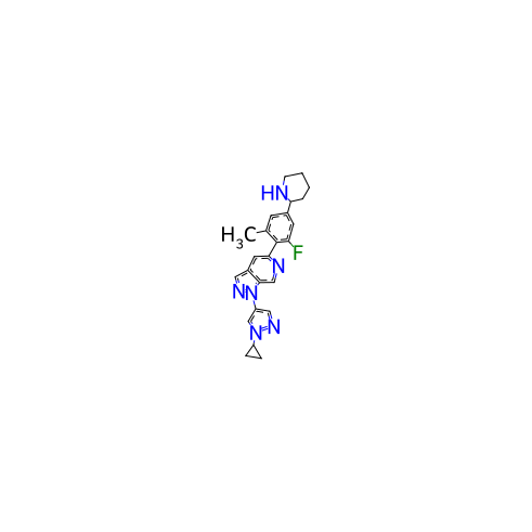 Cc1cc(C2CCCCN2)cc(F)c1-c1cc2cnn(-c3cnn(C4CC4)c3)c2cn1